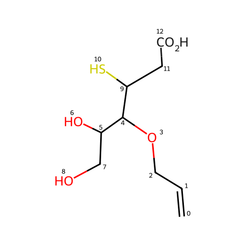 C=CCOC(C(O)CO)C(S)CC(=O)O